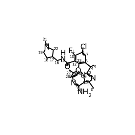 Cc1nc(C(C)c2cc(Cl)c(F)c(C(=O)NCC3CCN(C)C3)c2OC(C)C)n2ccnc(N)c12